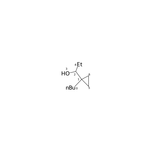 CCCCC1(C(O)CC)CC1